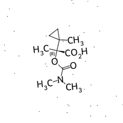 CN(C)C(=O)O[C@@](C)(C(=O)O)C1(C)CC1